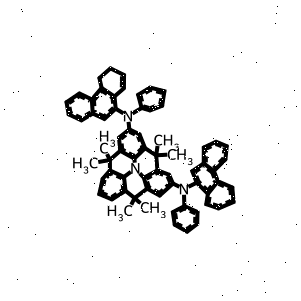 CC1(C)c2cccc3c2N2c4c1cc(N(c1ccccc1)c1cc5ccccc5c5c1C=CCC5)cc4C(C)(C)c1cc(N(c4ccccc4)c4cc5ccccc5c5ccccc45)cc(c12)C3(C)C